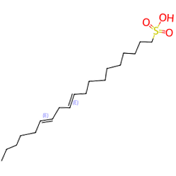 CCCCC/C=C/C/C=C/CCCCCCCCCS(=O)(=O)O